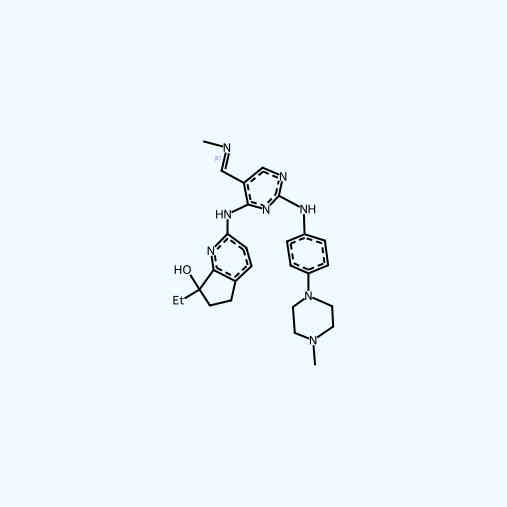 CCC1(O)CCc2ccc(Nc3nc(Nc4ccc(N5CCN(C)CC5)cc4)ncc3/C=N/C)nc21